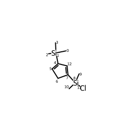 C[Si](C)(C)C1=CCC([Si](C)(C)Cl)=C1